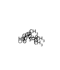 CCOC(=O)C(C)(Cc1cc2cc(OC)c(OC)cc2s1)C(=O)ONC(=O)C1CCCCC1